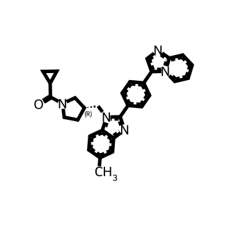 Cc1ccc2c(c1)nc(-c1ccc(-c3cnc4ccccn34)cc1)n2C[C@@H]1CCN(C(=O)C2CC2)C1